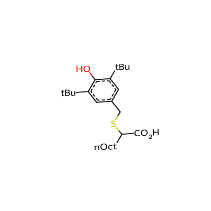 CCCCCCCCC(SCc1cc(C(C)(C)C)c(O)c(C(C)(C)C)c1)C(=O)O